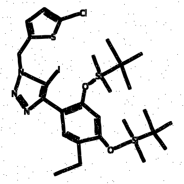 CCc1cc(-c2nnn(Cc3ccc(Cl)s3)c2I)c(O[Si](C)(C)C(C)(C)C)cc1O[Si](C)(C)C(C)(C)C